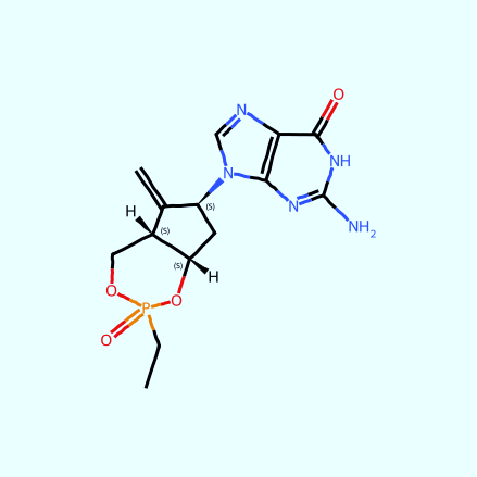 C=C1[C@H]2COP(=O)(CC)O[C@H]2C[C@@H]1n1cnc2c(=O)[nH]c(N)nc21